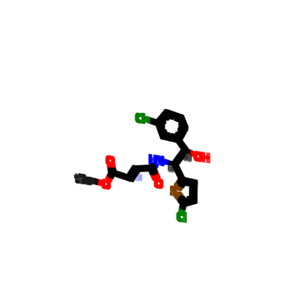 CC(C)(C)OC(=O)/C=C/C(=O)N[C@H](c1ccc(Cl)s1)[C@H](O)c1cccc(Cl)c1